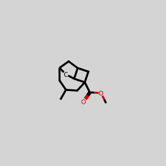 COC(=O)C12CC(C)CC3CC(C1)C2C3